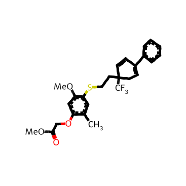 COC(=O)COc1cc(OC)c(SCCC2(C(F)(F)F)C=CC(c3ccccc3)=CC2)cc1C